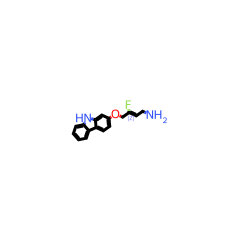 NC/C=C(\F)COc1ccc2c(c1)[nH]c1ccccc12